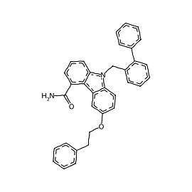 NC(=O)c1cccc2c1c1cc(OCCc3ccccc3)ccc1n2Cc1ccccc1-c1ccccc1